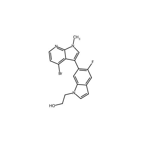 Cn1cc(-c2cc3c(ccn3CCO)cc2F)c2c(Br)ccnc21